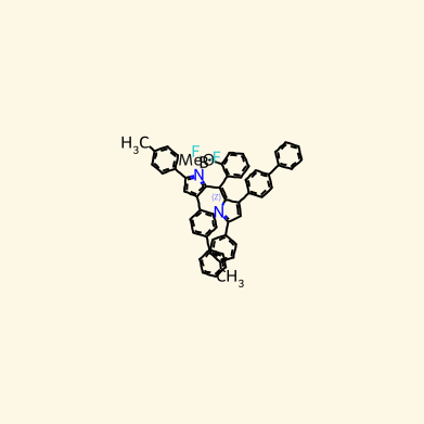 COc1ccccc1/C(=C1/N=C(c2ccc(C)cc2)C=C1c1ccc(-c2ccccc2)cc1)c1c(-c2ccc(-c3ccccc3)cc2)cc(-c2ccc(C)cc2)n1B(F)F